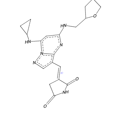 O=C1C/C(=C\c2cnn3c(NC4CC4)cc(NCC4CCCO4)nc23)C(=O)N1